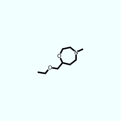 CCOCC1CCN(C)CCO1